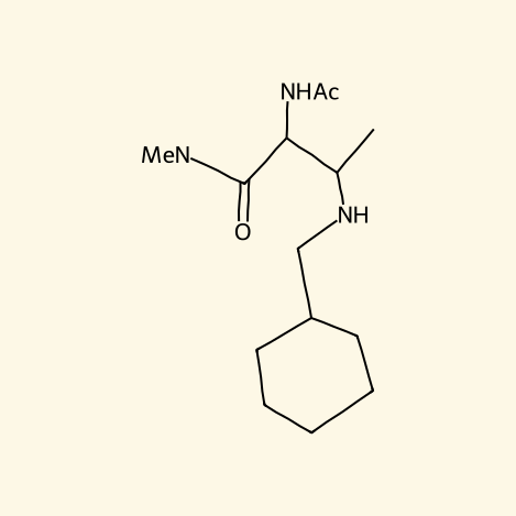 CNC(=O)C(NC(C)=O)C(C)NCC1CCCCC1